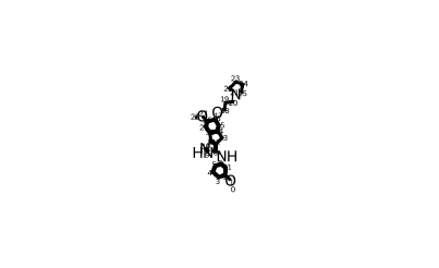 COc1cccc(Nc2[nH]nc3c2Cc2cc(OCCCN4CCCC4)c(OC)cc2-3)c1